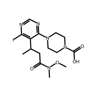 CON(C)C(=O)CC(C)c1c(I)ncnc1N1CCN(C(=O)O)CC1